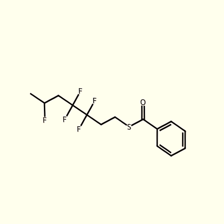 CC(F)CC(F)(F)C(F)(F)CCSC(=O)c1ccccc1